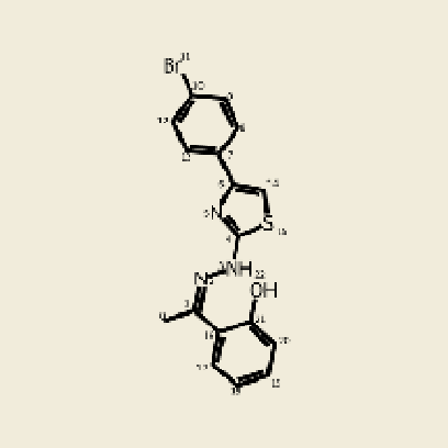 C/C(=N/Nc1nc(-c2ccc(Br)cc2)cs1)c1ccccc1O